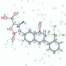 C[C@@H]1C(C(=O)O)OC(=O)N1c1ccc2cc(-c3ccccc3C(F)(F)F)[nH]c(=O)c2c1